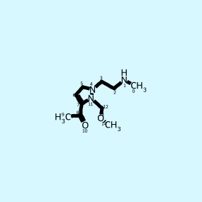 CNCCN1CC=C(C(C)=O)N1COC